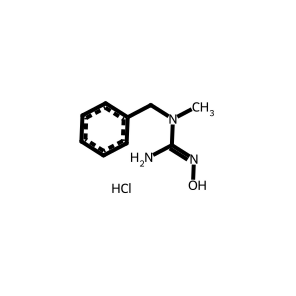 CN(Cc1ccccc1)/C(N)=N/O.Cl